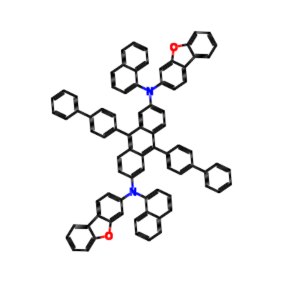 c1ccc(-c2ccc(-c3c4ccc(N(c5ccc6c(c5)oc5ccccc56)c5cccc6ccccc56)cc4c(-c4ccc(-c5ccccc5)cc4)c4ccc(N(c5ccc6c(c5)oc5ccccc56)c5cccc6ccccc56)cc34)cc2)cc1